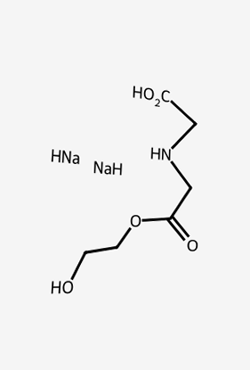 O=C(O)CNCC(=O)OCCO.[NaH].[NaH]